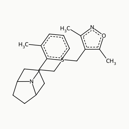 Cc1ccccc1C1CC2CCC(C1)N2CCSCc1c(C)noc1C